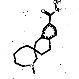 CN1CCCCCC2(CCc3ccc(C(=O)NO)cc3C2)C1